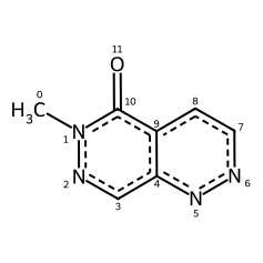 Cn1ncc2nnccc2c1=O